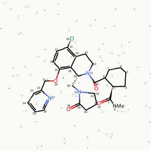 CNC(=O)[C@@H]1CCCCC1C(=O)N1CCc2c(Cl)ccc(OCc3ccccn3)c2[C@H]1CN1CCCC1=O